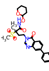 C[C@@](CCn1cnc2cc(-c3ccccc3)ccc2c1=O)(C(=O)NOC1CCCCO1)S(C)(=O)=O